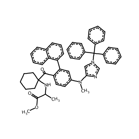 COC(=O)C(C)NC1(C(=O)c2ccc(N(C)c3cn(C(c4ccccc4)(c4ccccc4)c4ccccc4)cn3)cc2-c2cccc3ccccc23)CCCCC1